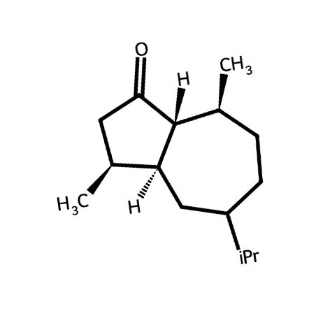 CC(C)C1CC[C@H](C)[C@H]2C(=O)C[C@H](C)[C@@H]2C1